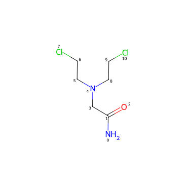 NC(=O)CN(CCCl)CCCl